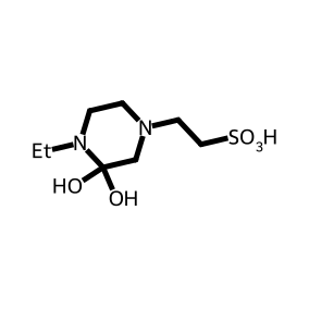 CCN1CCN(CCS(=O)(=O)O)CC1(O)O